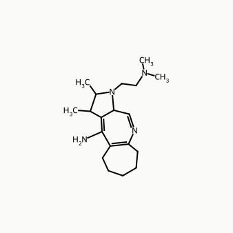 CC1C2=C(N)C3=C(CCCCC3)N=CC2N(CCN(C)C)C1C